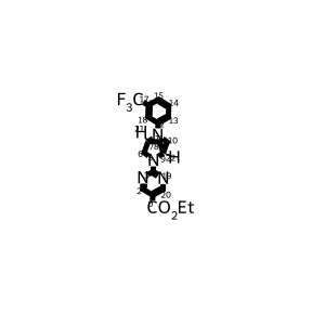 CCOC(=O)c1cnc(N2C[C@@H]3C[C@H]2CN3c2cccc(C(F)(F)F)c2)nc1